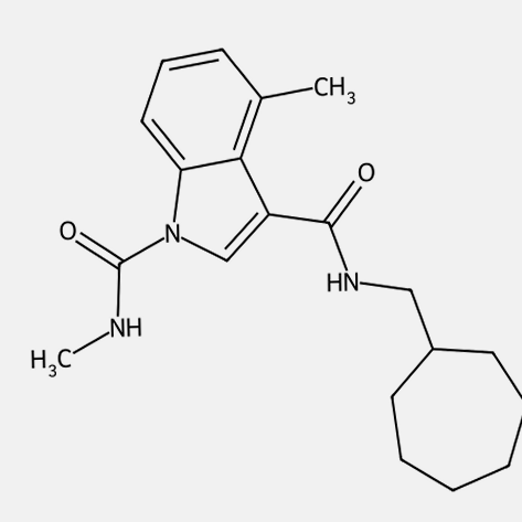 CNC(=O)n1cc(C(=O)NCC2CCCCCC2)c2c(C)cccc21